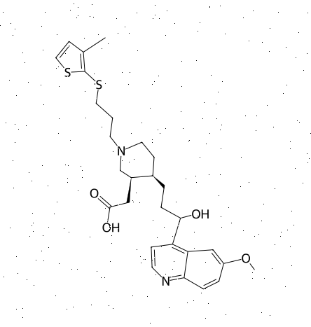 COc1ccc2nccc(C(O)CC[C@@H]3CCN(CCCSc4sccc4C)C[C@@H]3CC(=O)O)c2c1